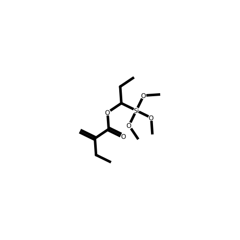 C=C(CC)C(=O)OC(CC)[Si](OC)(OC)OC